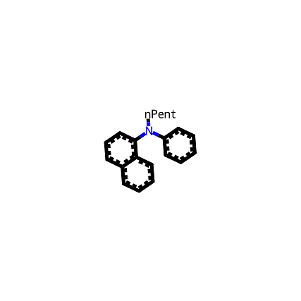 CCCCCN(c1ccccc1)c1cccc2ccccc12